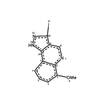 COc1cccc2c1ncc1c(I)n[nH]c12